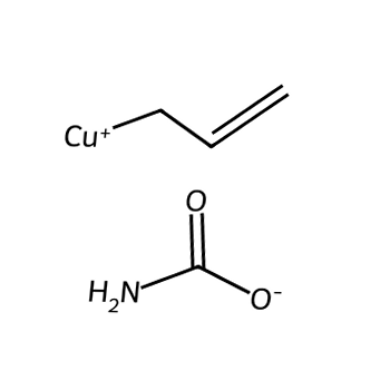 C=C[CH2][Cu+].NC(=O)[O-]